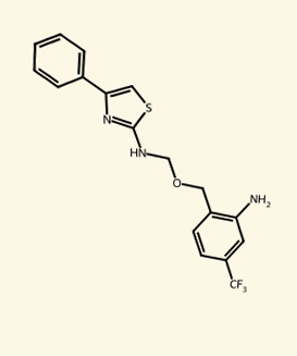 Nc1cc(C(F)(F)F)ccc1COCNc1nc(-c2ccccc2)cs1